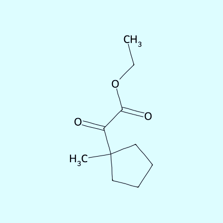 CCOC(=O)C(=O)C1(C)CCCC1